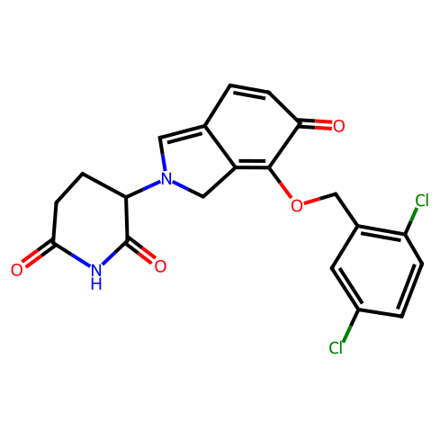 O=C1CCC(N2C=C3C=CC(=O)C(OCc4cc(Cl)ccc4Cl)=C3C2)C(=O)N1